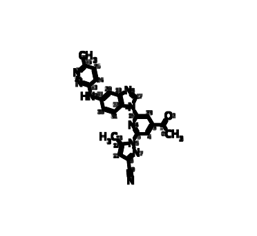 CC(=O)c1cc(-n2nc(C#N)cc2C)nc(-n2cnc3cc(Nc4ccc(C)nn4)ccc32)c1